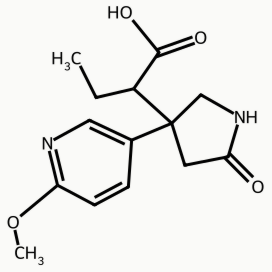 CCC(C(=O)O)C1(c2ccc(OC)nc2)CNC(=O)C1